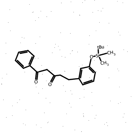 CC(C)(C)[Si](C)(C)Oc1cccc(CCC(=O)CC(=O)c2ccccc2)c1